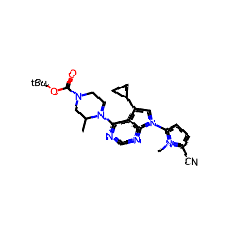 CC1CN(C(=O)OC(C)(C)C)CCN1c1ncnc2c1c(C1CC1)cn2-c1ccc(C#N)n1C